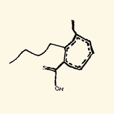 CCCCc1c(C)cccc1C(O)=S